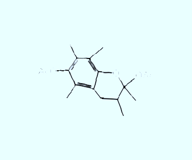 CC(=O)Oc1c(C)c(C)c2c(c1C)CC(C)C(C)(OC(C)=O)O2